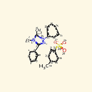 CCn1c(-c2ccccc2)n[n+](-c2ccccc2)c1C.Cc1ccc(S(=O)(=O)[O-])cc1